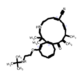 C=C1C(=O)/C2=C(/C=C(/OCCNC(C)(C)C)CC=CC2)C(C)(C)CNCC/C=C(C#N)\C=C/C1C